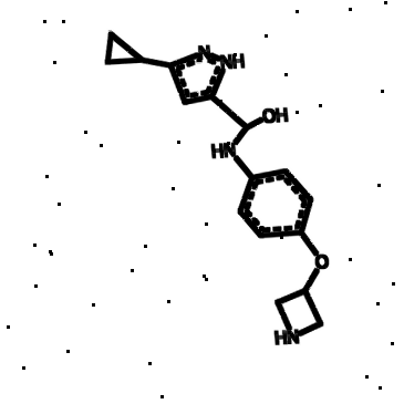 OC(Nc1ccc(OC2CNC2)cc1)c1cc(C2CC2)n[nH]1